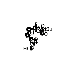 COc1nc(-c2cccc(-c3cccc(-c4cc5c(=O)n(C)c(CN6CC(C)(O)C6)nn5c4)c3Cl)c2Cl)cc(F)c1CN(C[C@@H]1CCC(=O)N1)C(=O)OC(C)(C)C